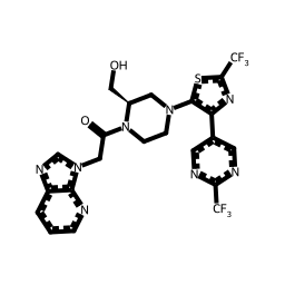 O=C(Cn1cnc2cccnc21)N1CCN(c2sc(C(F)(F)F)nc2-c2cnc(C(F)(F)F)nc2)C[C@@H]1CO